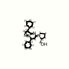 OC[C@@H]1CCCN1c1cc(-c2ccccc2)n2ncc(-c3ccccc3)c2n1